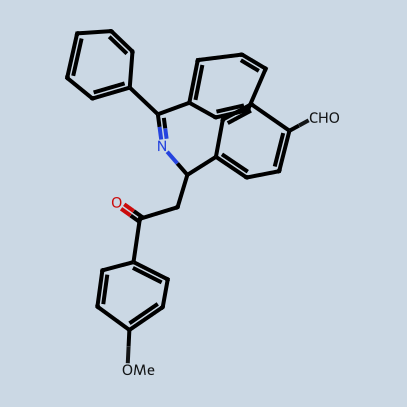 COc1ccc(C(=O)CC(N=C(c2ccccc2)c2ccccc2)c2ccc(C=O)cc2)cc1